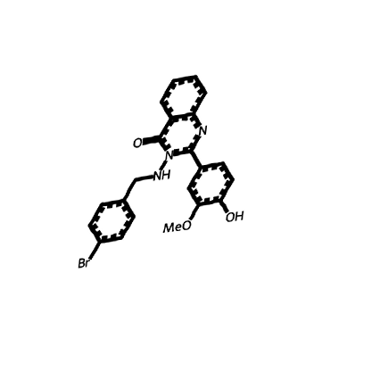 COc1cc(-c2nc3ccccc3c(=O)n2NCc2ccc(Br)cc2)ccc1O